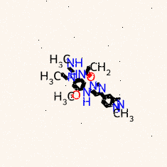 C=CC(=O)Nc1cc(Nc2cc(-c3ccc4c(cnn4C)c3)ncn2)c(OC)cc1N(CCC)CCNC